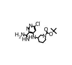 CC(C)(C)OC(=O)N1CCCC(Nc2cc(Cl)nnc2C(=N)N)C1